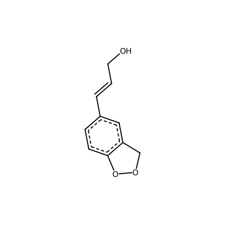 OCC=Cc1ccc2c(c1)COO2